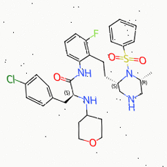 C[C@@H]1CNC[C@H](CCc2c(F)cccc2NC(=O)[C@H](Cc2ccc(Cl)cc2)NC2CCOCC2)N1S(=O)(=O)c1ccccc1